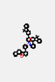 CC1(C)c2ccccc2-c2ccc(-c3ccc(N(c4cccc(-c5cccc6oc7c8ccccc8ccc7c56)c4)c4ccccc4-c4cccc5c4-c4ccccc4C5(C)C)cc3)cc21